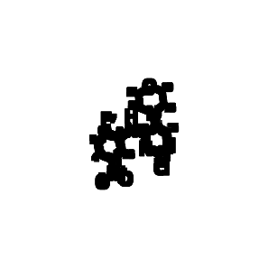 O=[N+]([O-])c1ccc(F)c(Nc2nc(Cl)ncc2N2CCOCC2)c1